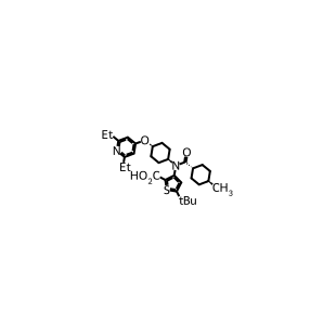 CCc1cc(O[C@H]2CC[C@H](N(c3cc(C(C)(C)C)sc3C(=O)O)C(=O)[C@H]3CC[C@H](C)CC3)CC2)cc(CC)n1